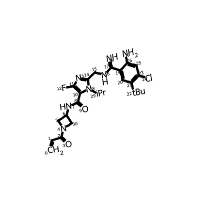 C=CC(=O)N1CC(NC(=O)c2c(F)nc(CNC(=N)c3cc(C(C)(C)C)c(Cl)cc3N)n2C(C)C)C1